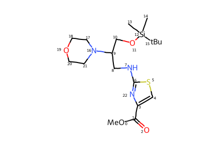 COC(=O)c1csc(NCC(CO[Si](C)(C)C(C)(C)C)N2CCOCC2)n1